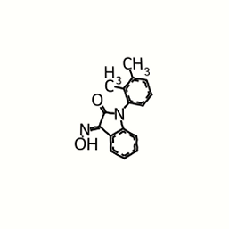 Cc1cccc(N2C(=O)/C(=N/O)c3ccccc32)c1C